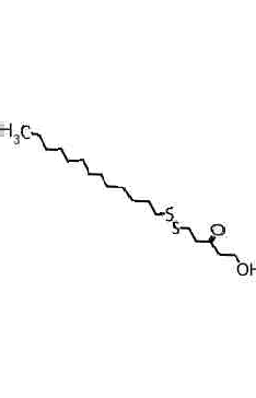 CCCCCCCCCCCCCSSCCC(=O)CCO